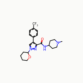 CN1CCC(NC(=O)c2nn(C3CCCCO3)cc2-c2ccc(C(F)(F)F)cc2)CC1